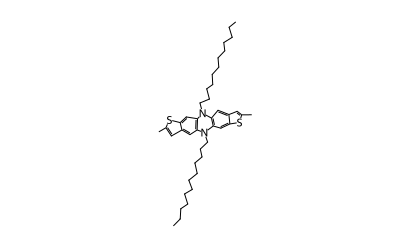 CCCCCCCCCCCCN1c2cc3cc(C)sc3cc2N(CCCCCCCCCCCC)c2cc3cc(C)sc3cc21